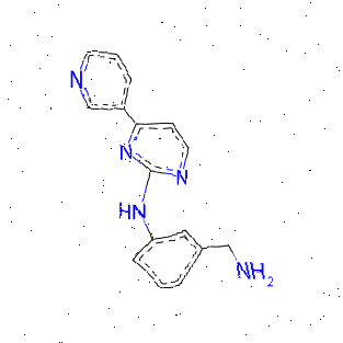 NCc1cccc(Nc2nccc(-c3cccnc3)n2)c1